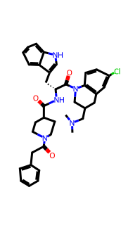 CN(C)CC1Cc2cc(Cl)ccc2N(C(=O)[C@@H](Cc2c[nH]c3ccccc23)NC(=O)C2CCN(C(=O)Cc3ccccc3)CC2)C1